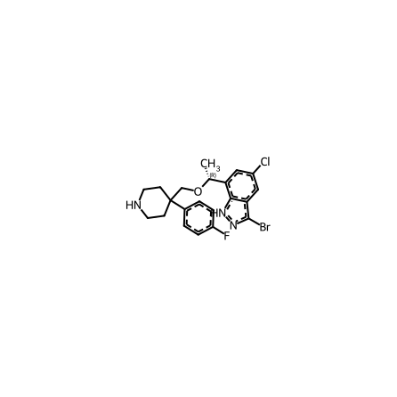 C[C@@H](OCC1(c2ccc(F)cc2)CCNCC1)c1cc(Cl)cc2c(Br)n[nH]c12